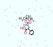 CC(C)(C)OC(=O)NCC(C(=O)O)C1=CCC=CC1